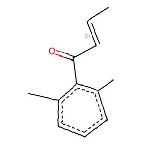 C/C=C/C(=O)c1c(C)cccc1C